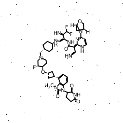 Cn1c(=O)n(C2CCC(=O)NC2=O)c2cccc([C@H]3C[C@H](O[C@@H]4CCN(C[C@H]5CC[C@H](N/C=C(/NC(=O)/C(C=N)=C6\N=C(N7C[C@H]8C[C@@H]7CO8)C=CN6)C(=N)C(F)F)CC5)C[C@H]4F)C3)c21